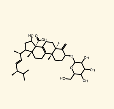 C=C1[C@@H](OC2OC(CO)C(O)C(O)C2O)CC[C@]2(C)C3=C(CC[C@@H]12)[C@]1(C(=O)O)[C@H](O)C[C@H]([C@H](C)/C=C/[C@H](C)C(C)C)[C@@]1(C)CC3